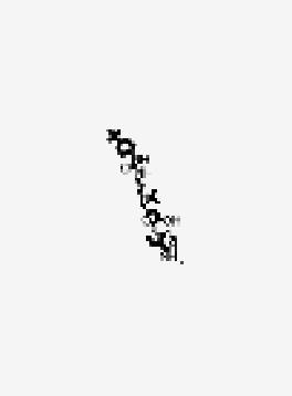 CC(C)N(CCCNC(=O)Nc1ccc(C(C)(C)C)cc1)C[C@@H]1C[C@@H](O)[C@H](n2ccc3c(N)ncnc32)O1